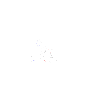 c1ccc(-c2ccc3c(c2)Oc2ccccc2C32c3ccccc3Oc3cc(-c4ccncn4)ccc32)nc1